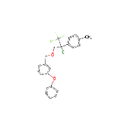 Cc1ccc(C(Cl)(COCc2cccc(Oc3ccccc3)c2)C(F)(F)F)cc1